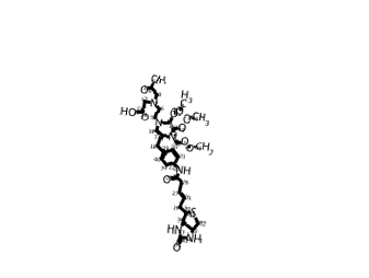 COOCN(CCN(CC(=O)O)CC(=O)O)CC(Cc1ccc(NC(=O)CCCCC2SCC3NC(=O)NC32)cc1)N(COOC)COOC